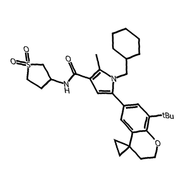 Cc1c(C(=O)NC2CCS(=O)(=O)C2)cc(-c2cc(C(C)(C)C)c3c(c2)C2(CCO3)CC2)n1CC1CCCCC1